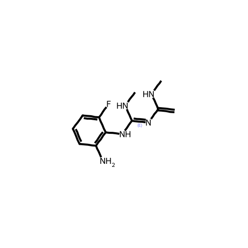 C=C(/N=C(\NC)Nc1c(N)cccc1F)NC